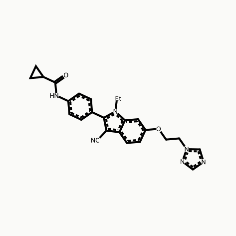 CCn1c(-c2ccc(NC(=O)C3CC3)cc2)c(C#N)c2ccc(OCCn3cncn3)cc21